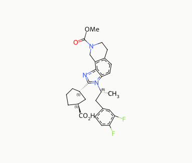 COC(=O)N1CCc2ccc3c(nc([C@H]4CCC[C@H](C(=O)O)C4)n3[C@H](C)Cc3ccc(F)c(F)c3)c2C1